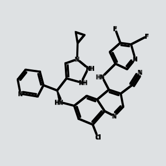 N#Cc1cnc2c(Cl)cc(N[C@H](C3=CN(C4CC4)NN3)c3cccnc3)cc2c1Nc1cnc(F)c(F)c1